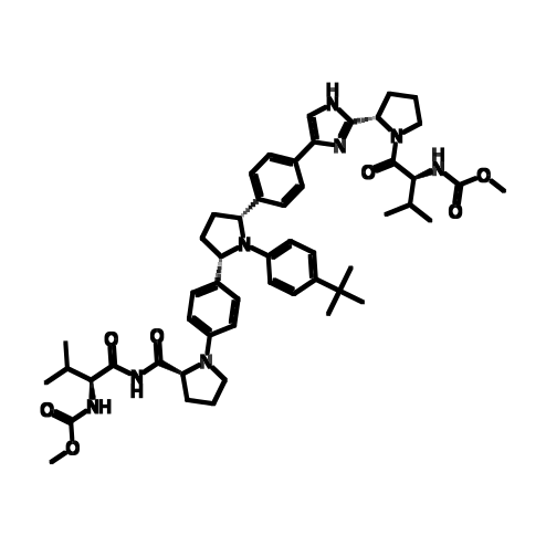 COC(=O)N[C@H](C(=O)NC(=O)[C@@H]1CCCN1c1ccc([C@@H]2CC[C@H](c3ccc(-c4c[nH]c([C@@H]5CCCN5C(=O)[C@@H](NC(=O)OC)C(C)C)n4)cc3)N2c2ccc(C(C)(C)C)cc2)cc1)C(C)C